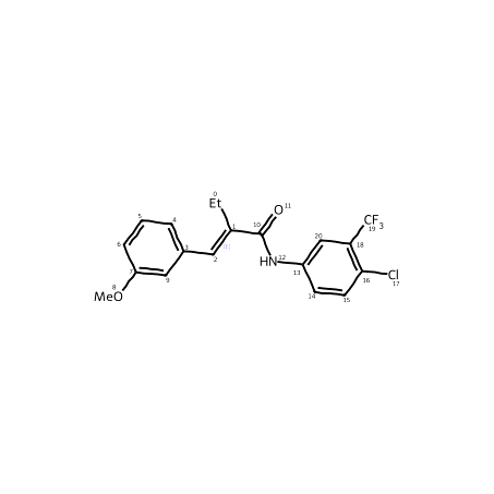 CC/C(=C\c1cccc(OC)c1)C(=O)Nc1ccc(Cl)c(C(F)(F)F)c1